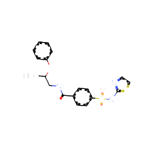 CC(CNC(=O)c1ccc(S(=O)(=O)Nc2nccs2)cc1)Oc1ccccc1